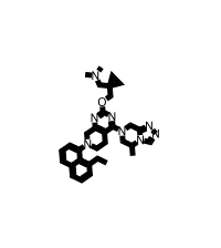 CCc1cccc2cccc(N3CCc4c(nc(OCC5(CN(C)C)CC5)nc4N4Cc5nncn5C(C)C4)C3)c12